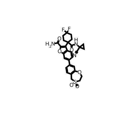 N#CC1(NC(=O)C2(c3c(C(N)=O)oc4cc(-c5ccc6c(c5)OCCS(=O)(=O)C6)ccc34)CCC(F)(F)CC2)CC1